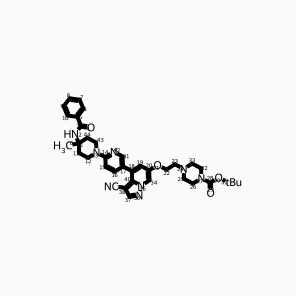 CC1(NC(=O)c2ccccc2)CCN(c2ccc(-c3cc(OCCN4CCN(C(=O)OC(C)(C)C)CC4)cn4ncc(C#N)c34)cn2)CC1